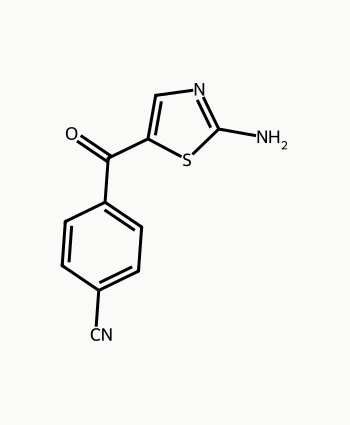 N#Cc1ccc(C(=O)c2cnc(N)s2)cc1